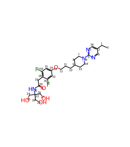 CCc1cnc(N2CCC(CCCOc3cc(F)c(CC(=O)NC(CO)(CO)CO)c(F)c3)CC2)nc1